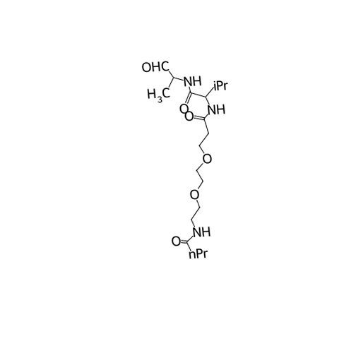 CCCC(=O)NCCOCCOCCC(=O)NC(C(=O)NC(C)C=O)C(C)C